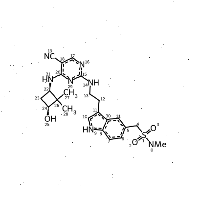 CNS(=O)(=O)Cc1ccc2[nH]cc(CCNc3ncc(C#N)c(N[C@@H]4C[C@H](O)C4(C)C)n3)c2c1